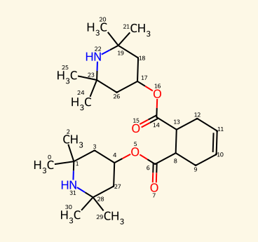 CC1(C)CC(OC(=O)C2CC=CCC2C(=O)OC2CC(C)(C)NC(C)(C)C2)CC(C)(C)N1